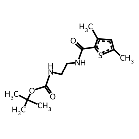 Cc1cc(C)c(C(=O)NCCNC(=O)OC(C)(C)C)s1